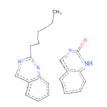 CCCCCc1ncc2ccccc2n1.O=c1ncc2ccccc2[nH]1